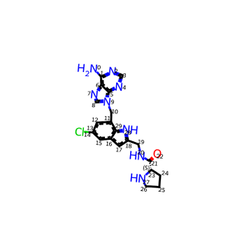 Nc1ncnc2c1ncn2Cc1cc(Cl)cc2cc(CNC(=O)[C@@H]3CCCN3)[nH]c12